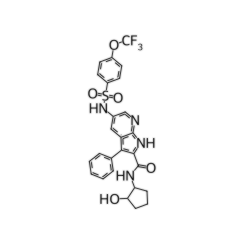 O=C(NC1CCCC1O)c1[nH]c2ncc(NS(=O)(=O)c3ccc(OC(F)(F)F)cc3)cc2c1-c1ccccc1